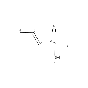 CC=CP(C)(=O)O